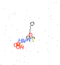 O=[PH](O)OCCCNCc1ccc(OCCCCCc2ccccc2)c(-c2cccs2)n1